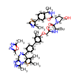 Cc1nnc(C[C@@H]2N=C(c3ccc(-c4ccc(OCC(=O)NC(C(=O)N5C[C@H](O)C[C@H]5C(=O)N[C@@H](C)c5ccc(-c6scnc6C)cc5)C(C)(C)C)c(C#N)c4)cc3)c3c(sc(C)c3C)-n3c(C)nnc32)o1